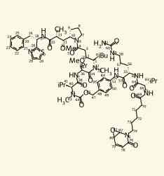 CC[C@H](C)[C@@H]([C@@H](CC(=O)N1CCC[C@H]1[C@H](OC)[C@@H](C)C(=O)N[C@@H](Cc1ccccc1)c1nccs1)OC)N(C)C(=O)[C@@H](NC(=O)[C@H](C(C)C)N(C)C(=O)OCc1ccc(NC(=O)[C@H](CCCNC(N)=O)NC(=O)[C@@H](NC(=O)CCCCCN2C(=O)C=CC3OC32)C(C)C)cc1)C(C)C